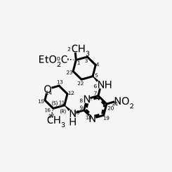 CCOC(=O)[C@]1(C)CC[C@@H](Nc2nc(N[C@@H]3CCOC[C@H]3C)ncc2[N+](=O)[O-])CC1